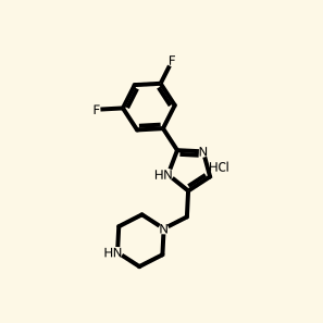 Cl.Fc1cc(F)cc(-c2ncc(CN3CCNCC3)[nH]2)c1